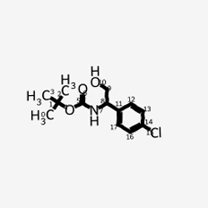 CC(C)(C)OC(=O)NC(CO)c1ccc(Cl)cc1